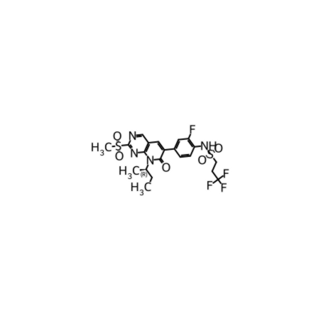 CC[C@@H](C)n1c(=O)c(-c2ccc(NS(=O)(=O)CCC(F)(F)F)c(F)c2)cc2cnc(S(C)(=O)=O)nc21